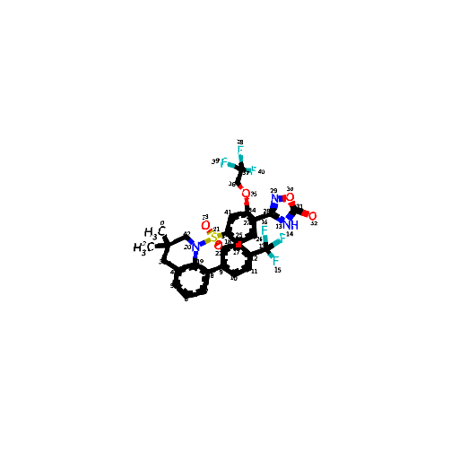 CC1(C)Cc2cccc(-c3ccc(C(F)(F)F)cc3)c2N(S(=O)(=O)c2ccc(-c3noc(=O)[nH]3)c(OCC(F)(F)F)c2)C1